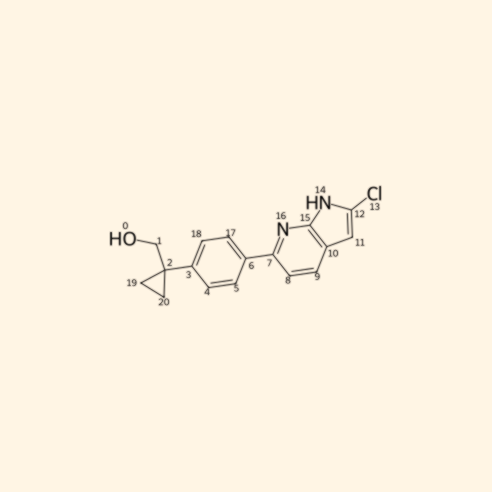 OCC1(c2ccc(-c3ccc4cc(Cl)[nH]c4n3)cc2)CC1